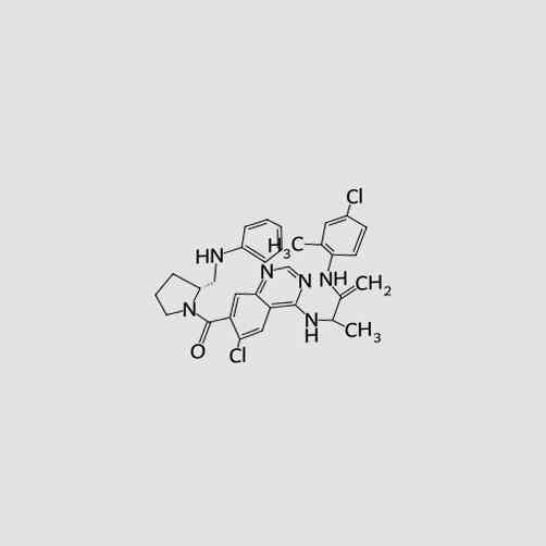 C=C(Nc1ccc(Cl)cc1C)C(C)Nc1ncnc2cc(C(=O)N3CCC[C@@H]3CNc3ccccc3)c(Cl)cc12